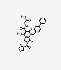 CC1c2c(c(O)c(C(=O)NCC(=O)O)c(=O)n2Cc2ccc(-c3ccccc3)cc2)CN1C(=O)c1cscn1